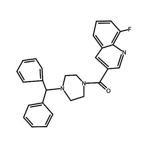 O=C(c1cnc2c(F)cccc2c1)N1CCN(C(c2ccccc2)c2ccccc2)CC1